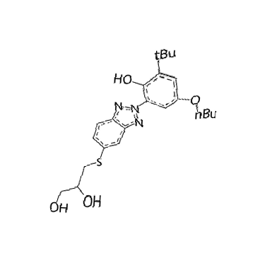 CCCCOc1cc(-n2nc3ccc(SCC(O)CO)cc3n2)c(O)c(C(C)(C)C)c1